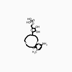 CN1C=CC(N)=NC2(CCCCCCCCCC(C3OC(COP(=O)(O)O)C(O)C3O)CCCC2)C1=O